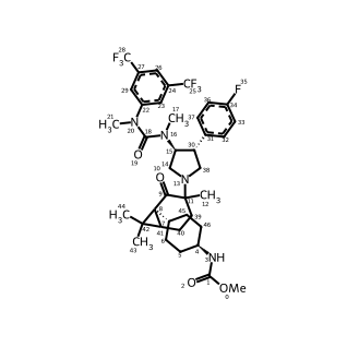 COC(=O)N[C@H]1CC[C@H](C23C(=O)C(C)(N4C[C@@H](N(C)C(=O)N(C)c5cc(C(F)(F)F)cc(C(F)(F)F)c5)[C@H](c5ccc(F)cc5)C4)CCC2C3(C)C)CC1